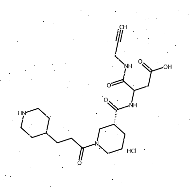 C#CCNC(=O)C(CC(=O)O)NC(=O)[C@@H]1CCCN(C(=O)CCC2CCNCC2)C1.Cl